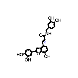 O=C(/C=C/c1ccc(O)c2oc(-c3ccc(O)c(O)c3)cc12)NCc1ccc(O)c(O)c1